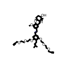 C#CCOCCOCCOc1cc(/C=C/c2cc3c(c(OC)c2)O[C@]2(C)CC[C@@H](O)C(C)(C)[C@H]2C3)cc(OCCOCCOCC#C)c1CC=C(C)C